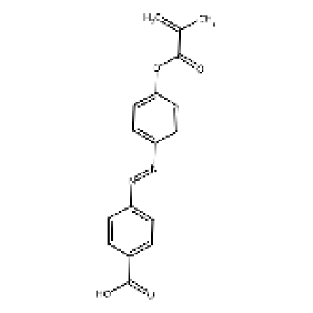 C=C(C)C(=O)Oc1ccc(N=Nc2ccc(C(=O)O)cc2)cc1